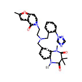 CCN1C(=O)C(C)(C)C(=O)N(C)c2cc(CN(CCn3ccc4oc(C)cc4c3=O)Cc3ccccc3-n3cncn3)ccc21